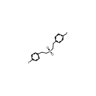 O=S(=O)(CCc1ccc(F)cc1)CCc1ccc(F)cc1